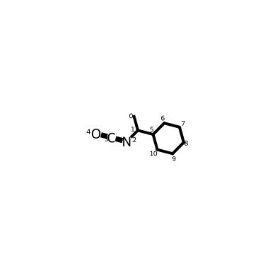 CC(N=C=O)C1CCCCC1